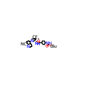 CC(C)(C)OC(=O)NC1CCC(c2nnc([C@]34CN(c5ccc(C#N)c6ncccc56)C[C@@]3(C(F)(F)F)C4)o2)CC1